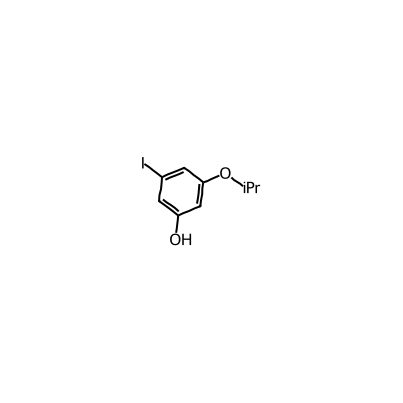 CC(C)Oc1cc(O)cc(I)c1